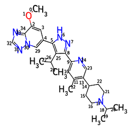 COc1cc(-c2[nH]nc(-c3cc(C)c(C4CCN(C(C)C)CC4)cn3)c2C(C)C)cn2ncnc12